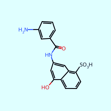 Nc1cccc(C(=O)Nc2cc(O)c3cccc(S(=O)(=O)O)c3c2)c1